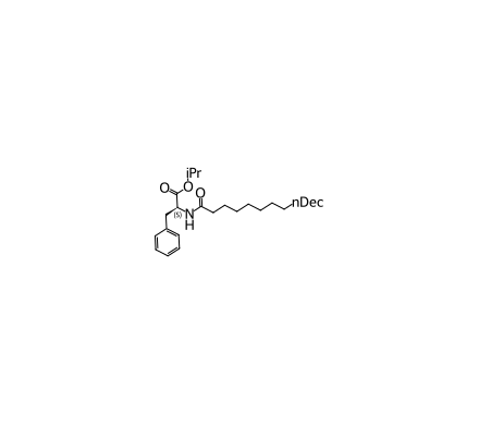 CCCCCCCCCCCCCCCCCC(=O)N[C@@H](Cc1ccccc1)C(=O)OC(C)C